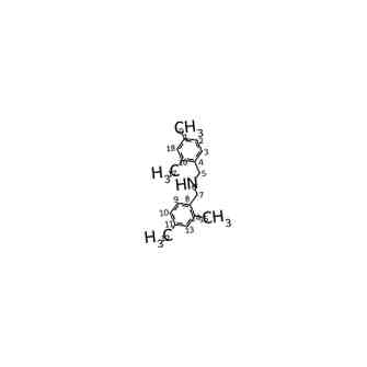 Cc1ccc(CNCc2ccc(C)cc2C)c(C)c1